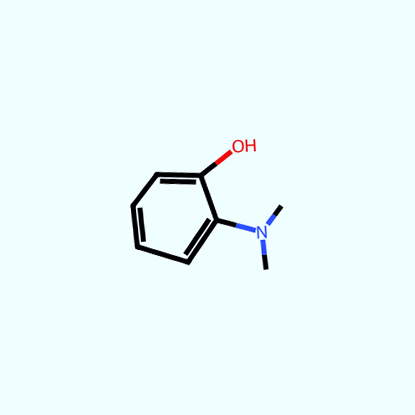 CN(C)c1ccccc1O